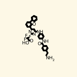 NCCc1ccc(C(=O)Nc2ccc(Nc3cc(-c4cccc5c4oc4ccccc45)ncn3)cc2)cc1.O=C(O)C(F)(F)F